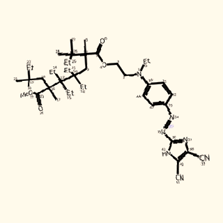 CCN(CCOC(=O)C(C)(CC(CC)(CC)C(CC)(CC)C(C)(CC(C)(C)CC)C(=O)OC)C(C)(C)CC)c1ccc(/N=N/c2nc(C#N)c(C#N)[nH]2)cc1